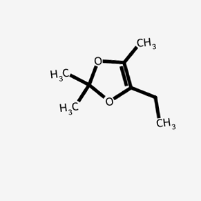 CCC1=C(C)OC(C)(C)O1